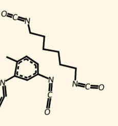 Cc1ccc(N=C=O)cc1N=C=O.O=C=NCCCCCCN=C=O